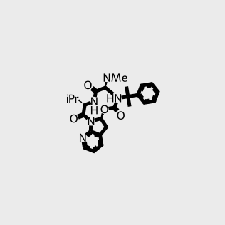 CN[C@@H](C)C(=O)N[C@H](C(=O)N1c2ncccc2C[C@@H]1OC(=O)NC(C)(C)c1ccccc1)C(C)C